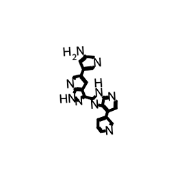 Nc1cncc(-c2cnc3[nH]nc(-c4nc5c(-c6cccnc6)ccnc5[nH]4)c3c2)c1